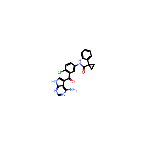 Nc1ncnc2[nH]cc(C(=O)c3cc(NC(=O)C4(c5ccccc5)CC4)ccc3Cl)c12